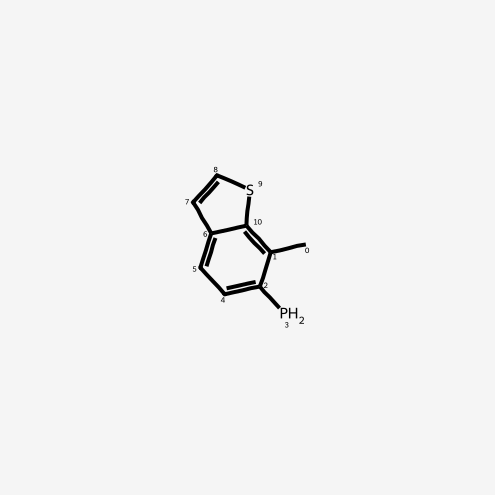 Cc1c(P)ccc2ccsc12